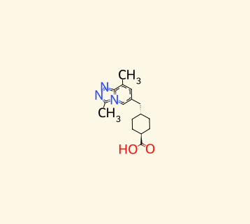 Cc1cc(C[C@H]2CC[C@H](C(=O)O)CC2)cn2c(C)nnc12